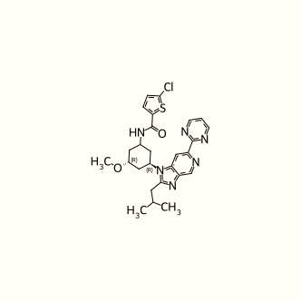 CO[C@@H]1CC(NC(=O)c2ccc(Cl)s2)C[C@@H](n2c(CC(C)C)nc3cnc(-c4ncccn4)cc32)C1